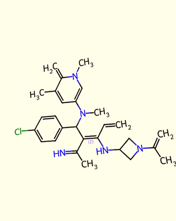 C=C/C(NC1CN(C(=C)C)C1)=C(/C(C)=N)C(c1ccc(Cl)cc1)N(C)C1=CN(C)C(=C)C(C)=C1